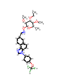 CCO[C@@H]1[C@@H](OC)[C@H](C)O[C@@H](ON=Cc2ccc3c(ccc4c3ncn4-c3ccc(OC(F)(F)F)cc3)c2)[C@@H]1OC